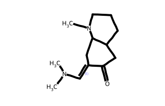 CN(C)/C=C1\CC2C(CCCN2C)CC1=O